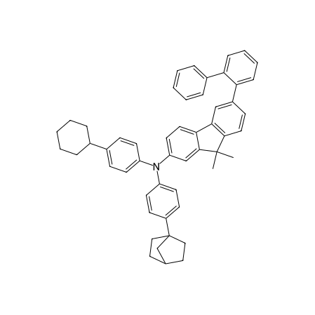 CC1(C)c2ccc(-c3ccccc3-c3ccccc3)cc2-c2ccc(N(c3ccc(C4CCCCC4)cc3)c3ccc(C45CCC(CC4)C5)cc3)cc21